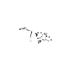 COCCC(=O)N1CCC(NN2CCC[C@H]2C=O)CC1